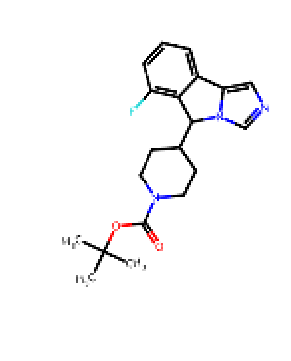 CC(C)(C)OC(=O)N1CCC(C2c3c(F)cccc3-c3cncn32)CC1